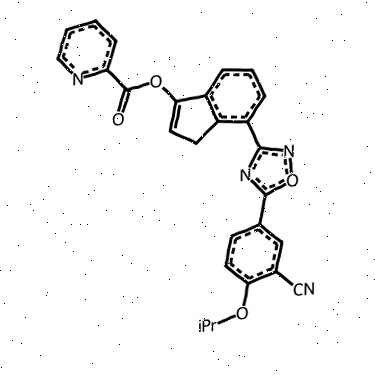 CC(C)Oc1ccc(-c2nc(-c3cccc4c3CC=C4OC(=O)c3ccccn3)no2)cc1C#N